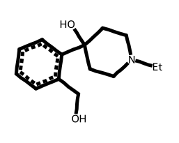 CCN1CCC(O)(c2ccccc2CO)CC1